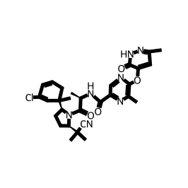 Cc1cc(Oc2ncc(C(=O)N[C@H](C)C(=O)N3[C@H](C4(C)C=C(Cl)C=CC4)CC[C@@H]3C(C)(C)C#N)nc2C)c(=O)[nH]n1